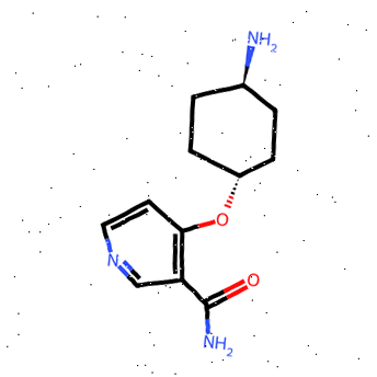 NC(=O)c1cnccc1O[C@H]1CC[C@H](N)CC1